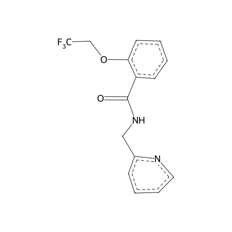 O=C(NCc1ccccn1)c1ccccc1OCC(F)(F)F